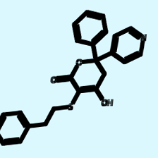 O=C1OC(c2ccccc2)(c2ccncc2)CC(O)=C1SCCc1ccccc1